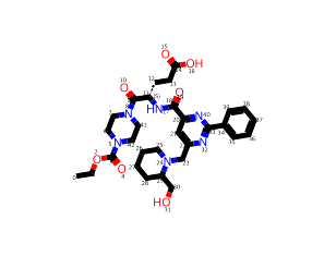 CCOC(=O)N1CCN(C(=O)[C@H](CCC(=O)O)NC(=O)c2cc(CN3CCCCC3CO)nc(-c3ccccc3)n2)CC1